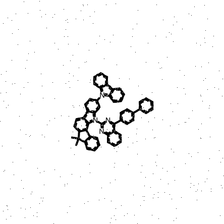 CC1(C)c2ccccc2-c2c1ccc1c3ccc(-n4c5ccccc5c5ccccc54)cc3n(-c3nc(-c4ccc(-c5ccccc5)cc4)c4ccccc4n3)c21